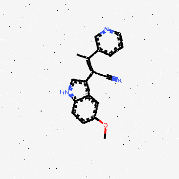 COc1ccc2[nH]cc(/C(C#N)=C(\C)c3cccnc3)c2c1